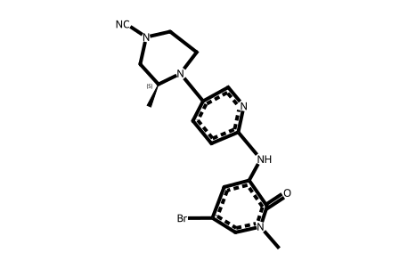 C[C@H]1CN(C#N)CCN1c1ccc(Nc2cc(Br)cn(C)c2=O)nc1